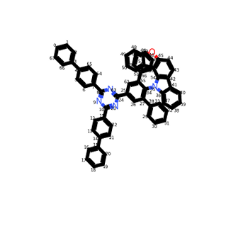 c1ccc(-c2ccc(-c3nc(-c4ccc(-c5ccccc5)cc4)nc(-c4cc(-c5ccccc5)c(-n5c6ccccc6c6ccc7oc8ccccc8c7c65)c(-c5ccccc5)c4)n3)cc2)cc1